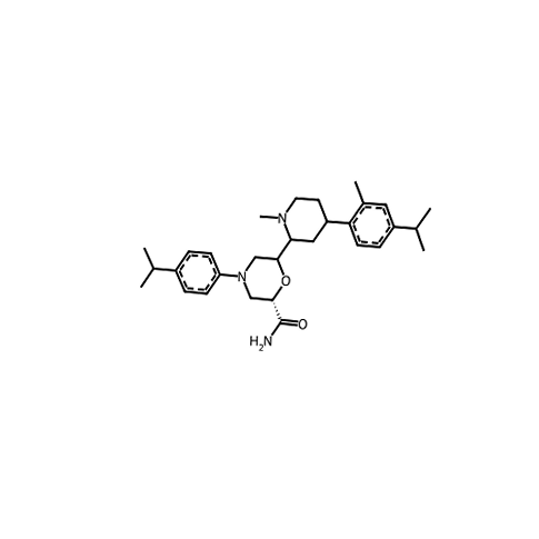 Cc1cc(C(C)C)ccc1C1CCN(C)C(C2CN(c3ccc(C(C)C)cc3)C[C@@H](C(N)=O)O2)C1